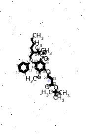 CCCCC1CN(c2ccccc2)c2cc(SC)c(O/C=C/C(=O)OC(C)(C)C)cc2S(=O)(=O)C1(C)C